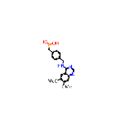 COc1cc2ncnc(NCc3ccc(CP(O)O)cc3)c2cc1OC